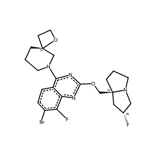 Fc1c(Br)ccc2c(N3CCC[C@]4(CCO4)C3)nc(OC[C@@]34CCCN3C[C@H](F)C4)nc12